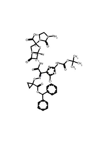 CC(C)(C)OC(=O)Nc1nc(/C(=N/OC2(C(=O)OC(c3ccccc3)c3ccccc3)CC2)C(=O)N[C@@H]2C(=O)N3C[C@@](C(=O)O)(N4CCN(N)C4=O)S[C@H]23)c(Cl)s1